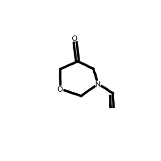 C=CN1COCC(=O)C1